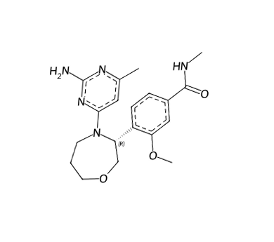 CNC(=O)c1ccc([C@@H]2COCCCN2c2cc(C)nc(N)n2)c(OC)c1